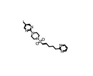 O=S(=O)(C=CCCCc1ncccn1)N1CCN(c2ncc(I)cn2)CC1